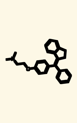 CN(C)CCOc1ccc(C(=C2CCc3ccccc32)c2ccccc2)cc1